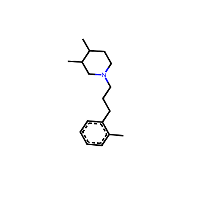 Cc1ccccc1CCCN1CCC(C)C(C)C1